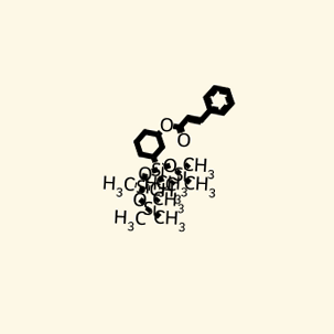 C[Si](C)(C)O[Si](C)(C)O[Si](C)(O[Si](C)(C)C)C1CCCC(OC(=O)/C=C/c2ccccc2)C1